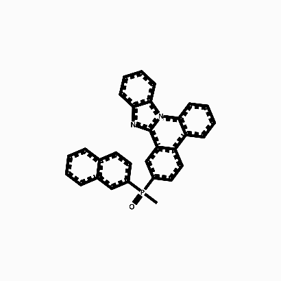 CP(=O)(c1ccc2ccccc2c1)c1ccc2c3ccccc3n3c4ccccc4nc3c2c1